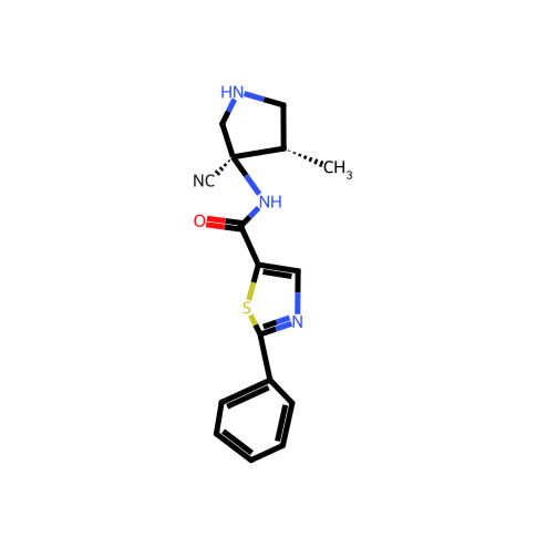 C[C@H]1CNC[C@]1(C#N)NC(=O)c1cnc(-c2ccccc2)s1